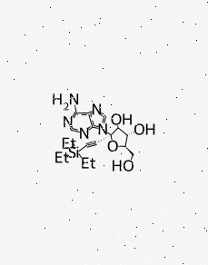 CC[Si](C#C[C@@]1(n2cnc3c(N)ncnc32)O[C@H](CO)[C@@H](O)[C@H]1O)(CC)CC